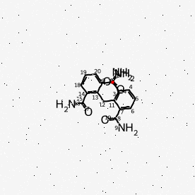 NC(=O)c1cccc(C(N)=O)c1Cc1c(C(N)=O)cccc1C(N)=O